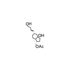 CC(=O)OC[C@H]1CC[C@]2(O)C[C@@H](/C=C/CCO)CC[C@]12C